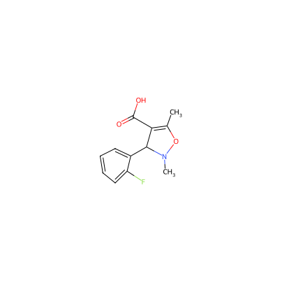 CC1=C(C(=O)O)C(c2ccccc2F)N(C)O1